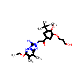 CCOc1nn2c(=N)n(CC(=O)c3cc(OCCCO)c(OC)c(C(C)(C)C)c3)nc2c(C)c1C